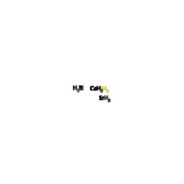 S.[BiH3].[CaH2].[SrH2]